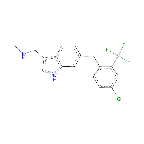 CNCc1c[nH]c2cc(Cc3ccc(Cl)cc3C(F)(F)F)ccc12